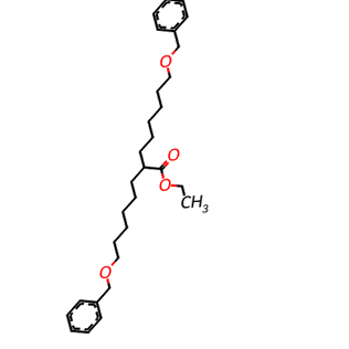 CCOC(=O)C(CCCCCCOCc1ccccc1)CCCCCCOCc1ccccc1